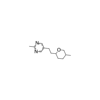 Cc1ncc(CCC2CCC(C)CO2)cn1